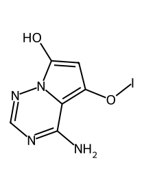 Nc1ncnn2c(O)cc(OI)c12